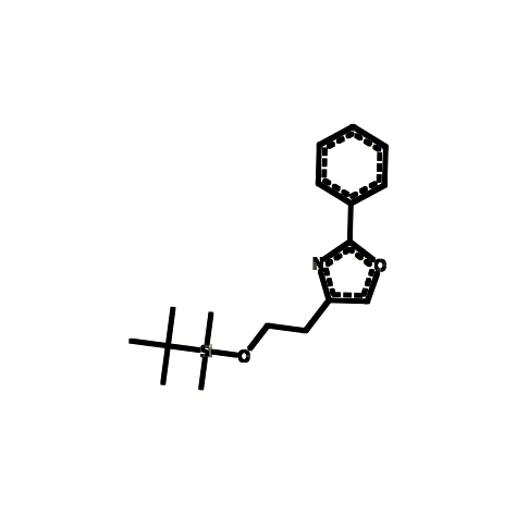 CC(C)(C)[Si](C)(C)OCCc1coc(-c2ccccc2)n1